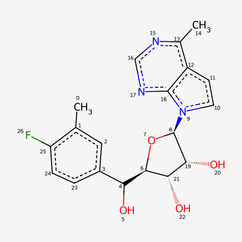 Cc1cc(C(O)[C@H]2O[C@@H](n3ccc4c(C)ncnc43)[C@H](O)[C@@H]2O)ccc1F